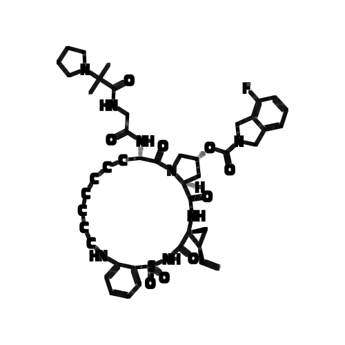 C=C[C@@H]1C[C@@]12NC(=O)[C@@H]1C[C@@H](OC(=O)N3Cc4cccc(F)c4C3)CN1C(=O)[C@@H](NC(=O)CNC(=O)C(C)(C)N1CCCC1)CCCCCCCNc1ccccc1S(=O)(=O)NC2=O